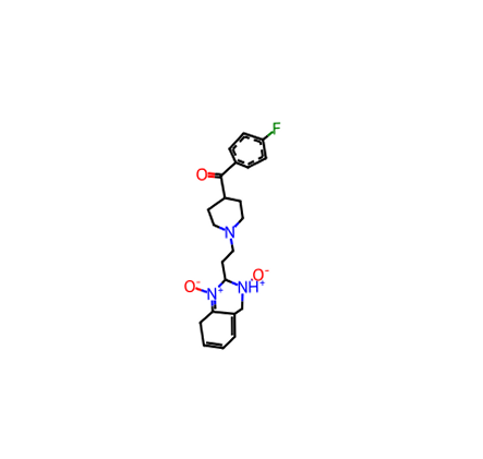 O=C(c1ccc(F)cc1)C1CCN(CCC2[N+]([O-])=C3CC=CC=C3C[NH+]2[O-])CC1